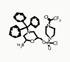 BC1CN(C(c2ccccc2)(c2ccccc2)c2ccccc2)CC(COP(=O)(Cl)N2CCN(C(=O)C(F)(F)F)CC2)O1